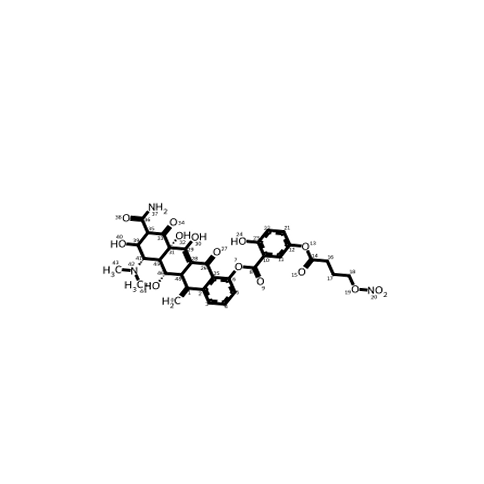 C=C1c2cccc(OC(=O)c3cc(OC(=O)CCCO[N+](=O)[O-])ccc3O)c2C(=O)C2=C(O)[C@]3(O)C(=O)C(C(N)=O)C(O)[C@@H](N(C)C)C3[C@@H](O)C12